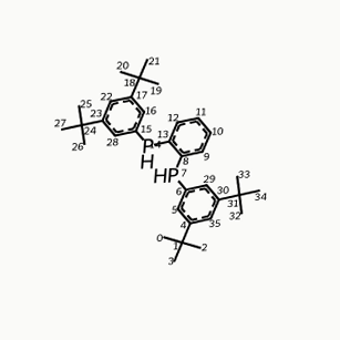 CC(C)(C)c1cc(Pc2ccccc2Pc2cc(C(C)(C)C)cc(C(C)(C)C)c2)cc(C(C)(C)C)c1